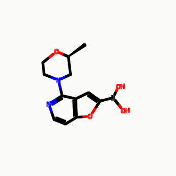 C[C@H]1CN(c2nccc3oc(B(O)O)cc23)CCO1